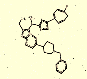 CCc1nc2ccc(C3CCN(Cc4ccccc4)CC3)cn2c1N(C)c1nc(C2=CC=C(F)CC=C2)cs1